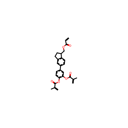 C=CC(=O)OCC1CCc2cc(-c3ccc(OC(=O)C(=C)C)c(OC(=O)C(=C)C)c3)ccc21